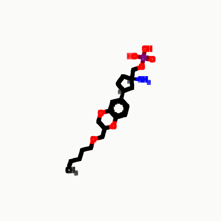 CCCCCOCC1COc2cc([C@H]3CC[C@](N)(COP(=O)(O)O)C3)ccc2O1